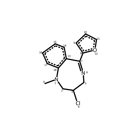 CN1CC(Cl)C/N=C(/c2ccco2)c2ccccc21